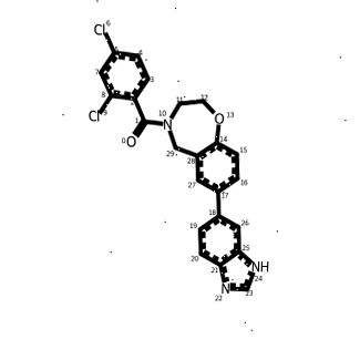 O=C(c1ccc(Cl)cc1Cl)N1CCOc2ccc(-c3ccc4nc[nH]c4c3)cc2C1